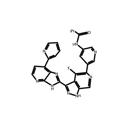 CC(C)C(=O)Nc1cncc(-c2ncc3[nH]nc(-c4nc5c(-c6ccccn6)ccnc5[nH]4)c3c2F)c1